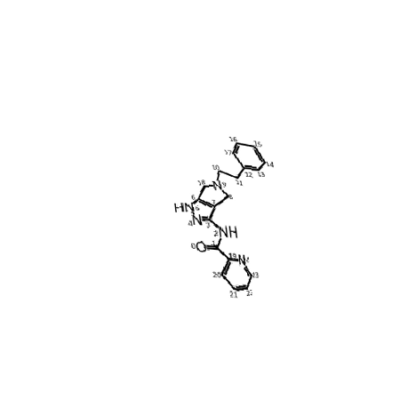 O=C(Nc1n[nH]c2c1CN(CCc1ccccc1)C2)c1ccccn1